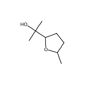 CC1CCC(C(C)(C)O)O1